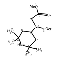 CCCCCCCCN(CC(=O)OC)C1CC(C)(C)NC(C)(C)C1